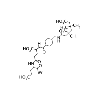 CC(C)C(=O)C(CCC(=O)O)NC(=O)CCC(NC(=O)C1CCC(CNC(=O)CC(C)(C)CC(C)(C)CC(=O)O)CC1)C(=O)O